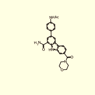 CC(=O)Nc1ccc(-c2cc(C(N)=O)c3[nH]c4cc(C(=O)N5CCOCC5)ccc4c3c2)cc1